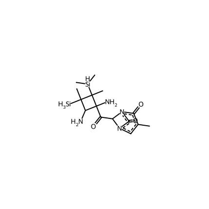 Cc1cn2c(=O)n(c1=O)C2C(=O)C1(N)C(N)C(C)([SiH3])C1(C)[SiH](C)C